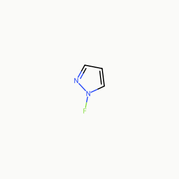 Fn1cccn1